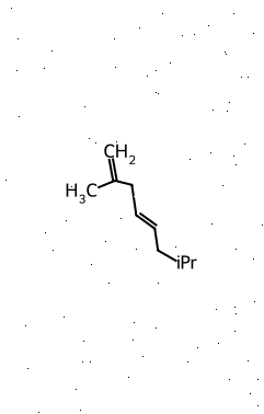 C=C(C)CC=CCC(C)C